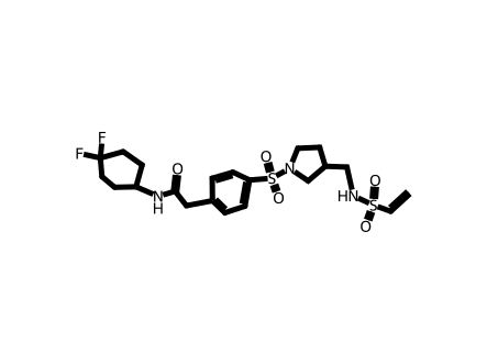 C=CS(=O)(=O)NCC1CCN(S(=O)(=O)c2ccc(CC(=O)NC3CCC(F)(F)CC3)cc2)C1